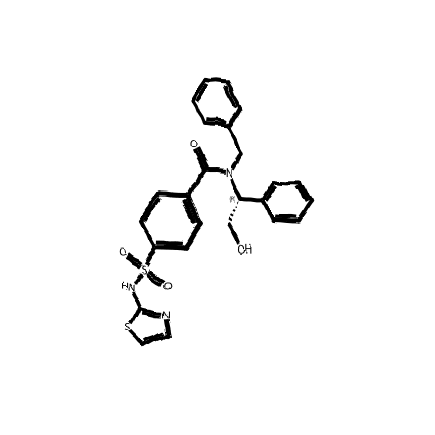 O=C(c1ccc(S(=O)(=O)Nc2nccs2)cc1)N(Cc1ccccc1)[C@@H](CO)c1ccccc1